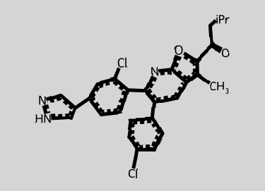 Cc1c(C(=O)CC(C)C)oc2nc(-c3ccc(-c4cn[nH]c4)cc3Cl)c(-c3ccc(Cl)cc3)cc12